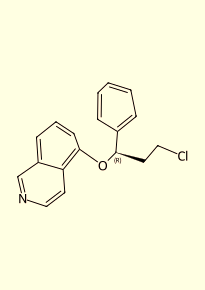 ClCC[C@@H](Oc1cccc2cnccc12)c1ccccc1